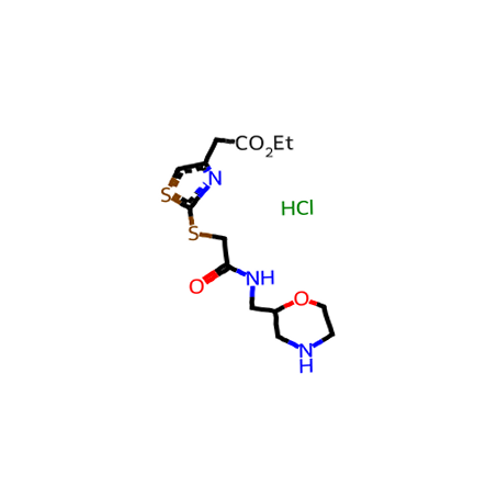 CCOC(=O)Cc1csc(SCC(=O)NCC2CNCCO2)n1.Cl